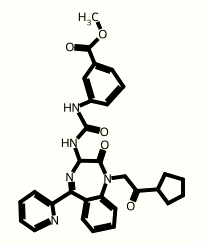 COC(=O)c1cccc(NC(=O)NC2N=C(c3ccccn3)c3ccccc3N(CC(=O)C3CCCC3)C2=O)c1